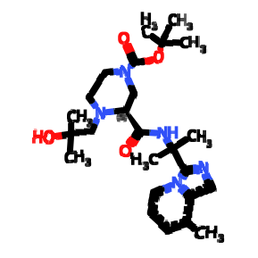 Cc1cccn2c(C(C)(C)NC(=O)[C@@H]3CN(C(=O)OC(C)(C)C)CCN3CC(C)(C)O)ncc12